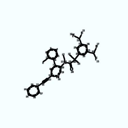 Cc1ccccc1-c1cc(C#Cc2ccccc2)ncc1N(C)C(=O)C(C)(C)c1cc(C(F)F)cc(C(F)F)c1